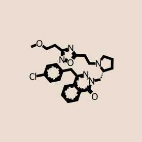 COCCc1noc(CCN2CCC[C@@H]2Cn2nc(Cc3ccc(Cl)cc3)c3ccccc3c2=O)n1